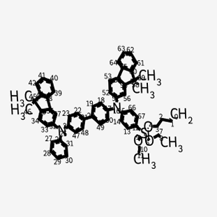 C=CCCO[Si](OCC)(OCC)c1ccc(N(c2ccc(-c3ccc(N(c4ccccc4)c4ccc5c(c4)-c4ccccc4C5(C)C)cc3)cc2)c2ccc3c(c2)C(C)(C)c2ccccc2-3)cc1